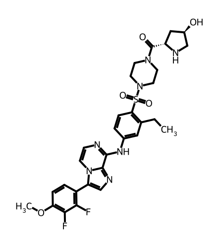 CCc1cc(Nc2nccn3c(-c4ccc(OC)c(F)c4F)cnc23)ccc1S(=O)(=O)N1CCN(C(=O)[C@@H]2C[C@@H](O)CN2)CC1